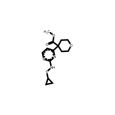 COC(=O)C1(c2ccnc(NSC3CC3)n2)CCOCC1